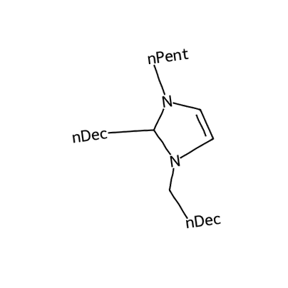 CCCCCCCCCCCN1C=CN(CCCCC)C1CCCCCCCCCC